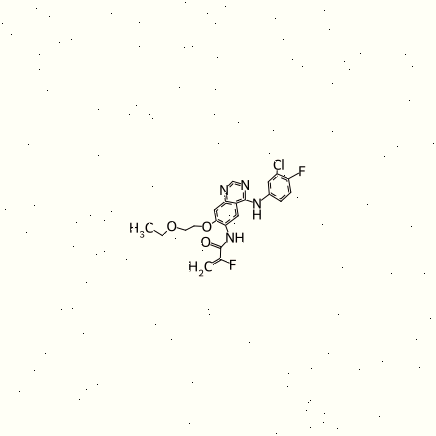 C=C(F)C(=O)Nc1cc2c(Nc3ccc(F)c(Cl)c3)ncnc2cc1OCCOCC